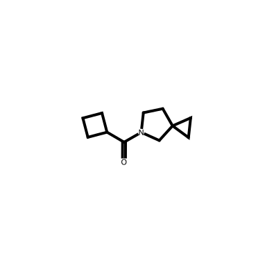 O=C(C1CCC1)N1CCC2(CC2)C1